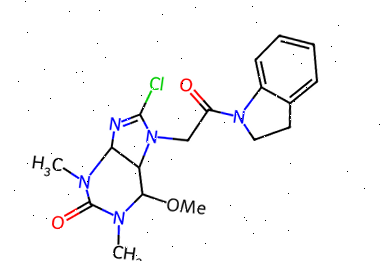 COC1C2C(N=C(Cl)N2CC(=O)N2CCc3ccccc32)N(C)C(=O)N1C